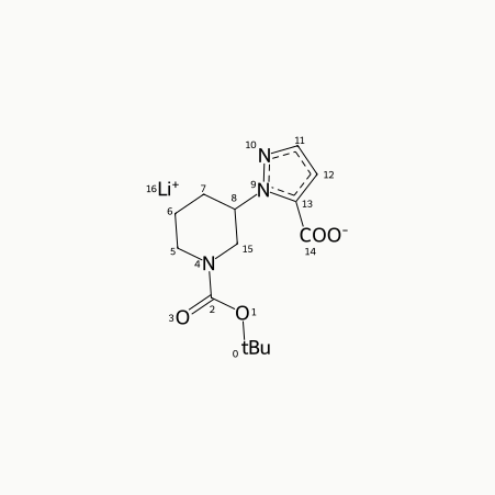 CC(C)(C)OC(=O)N1CCCC(n2nccc2C(=O)[O-])C1.[Li+]